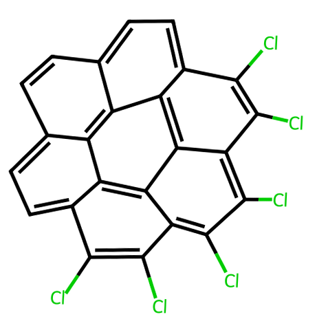 Clc1c(Cl)c2c(Cl)c(Cl)c3c(Cl)c(Cl)c4ccc5ccc6ccc1c1c6c5c4c3c21